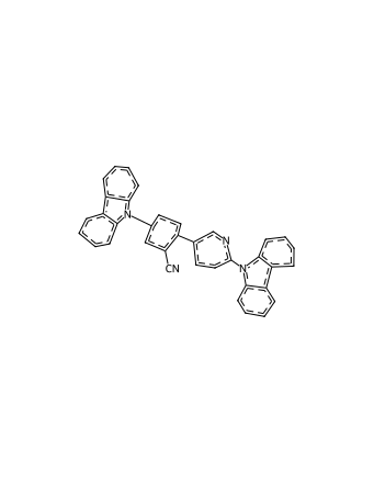 N#Cc1cc(-n2c3ccccc3c3ccccc32)ccc1-c1ccc(-n2c3ccccc3c3ccccc32)nc1